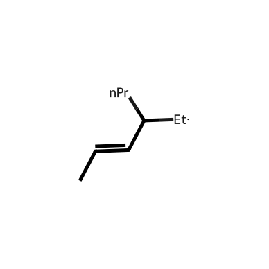 C[CH]C(/C=C/C)CCC